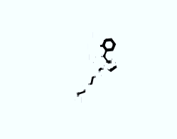 Cc1cccc([C@H](C)c2nccn2C(=O)OCCOCC(C)C)c1C